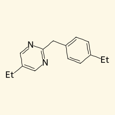 [CH2-][CH+]c1cnc(Cc2ccc(CC)cc2)nc1